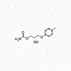 Cc1ccc(OC[C@H](O)COC(N)=O)cc1